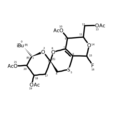 CC[C@@H](C)[C@H]1O[C@@]2(CSC3=C(O2)C(OC(C)=O)C(COC(C)=O)OC3F)CC(OC(C)=O)C1OC(C)=O